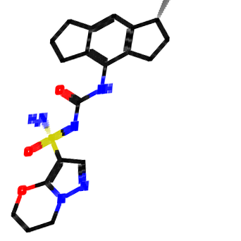 COC[C@@H]1CCc2c1cc1c(c2NC(=O)N=[S@](N)(=O)c2cnn3c2OCCC3)CCC1